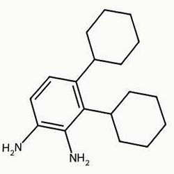 Nc1ccc(C2CCCCC2)c(C2CCCCC2)c1N